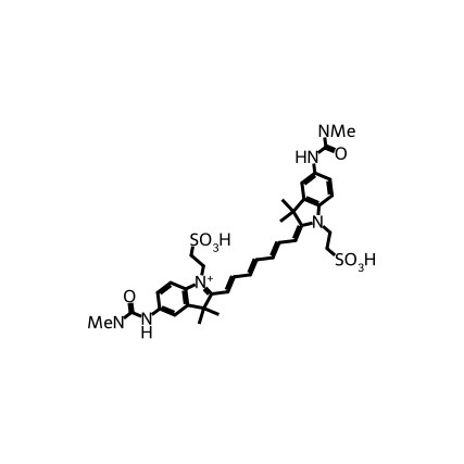 CNC(=O)Nc1ccc2c(c1)C(C)(C)C(/C=C/C=C/C=C/C=C1/N(CCS(=O)(=O)O)c3ccc(NC(=O)NC)cc3C1(C)C)=[N+]2CCS(=O)(=O)O